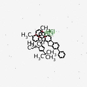 Cl.Cl.[CH2]=[Zr]([C]1=CC(C(C)(C)C)=CC1CCC)([c]1ccc(C)cc1)([c]1ccc(C)cc1)[c]1c(-c2ccccc2)ccc2c1Cc1cc(-c3ccccc3)ccc1-2